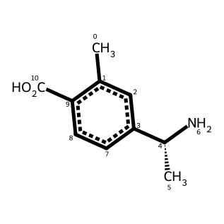 Cc1cc([C@@H](C)N)ccc1C(=O)O